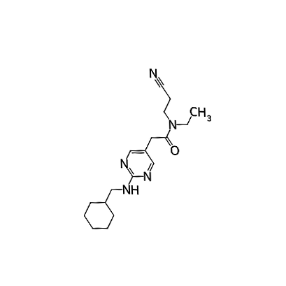 CCN(CCC#N)C(=O)Cc1cnc(NCC2CCCCC2)nc1